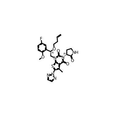 C=CCCO[C@@H](Cn1c(=O)n([C@@H]2CCNC2=O)c(=O)c2c(C)c(-n3nccn3)sc21)c1cc(F)ccc1OC